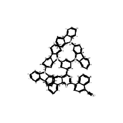 N#Cc1ccc(-c2nc(-c3cc(-n4c5ccccc5c5ccc(-n6c7ccccc7c7ccccc76)cc54)cc(-n4c5ccccc5c5ccc(-n6c7ccccc7c7ccccc76)cc54)c3)c3ccc4ccccc4c3n2)c2ccccc12